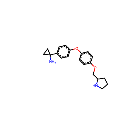 NC1(c2ccc(Oc3ccc(OCC4CCCN4)cc3)cc2)CC1